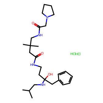 CC(C)CNC(O)(CCNC(=O)CC(C)(C)CNC(=O)CN1CCCC1)Cc1ccccc1.Cl.Cl